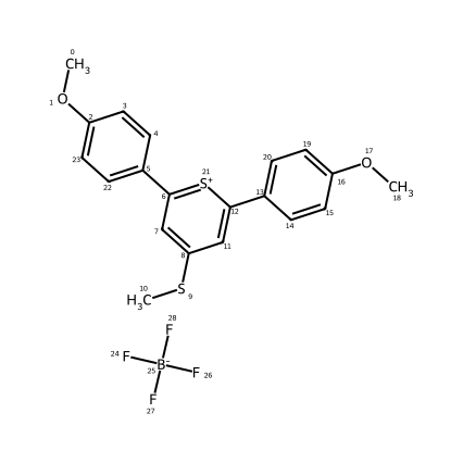 COc1ccc(-c2cc(SC)cc(-c3ccc(OC)cc3)[s+]2)cc1.F[B-](F)(F)F